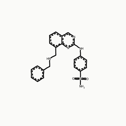 NS(=O)(=O)c1ccc(Nc2ncc3cccc(CNCc4ccccc4)c3n2)cc1